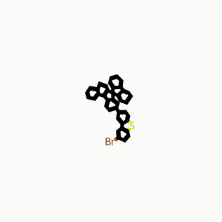 Brc1ccc2sc3ccc(-c4ccc5c(c4)C4(c6ccccc6-c6ccccc64)c4ccc6ccccc6c4-5)cc3c2c1